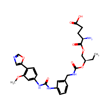 CC[C@H](COC(=O)[C@H](N)CCC(=O)O)OC(=O)NCc1cccc(NC(=O)Nc2ccc(-c3cnco3)c(OC)c2)c1